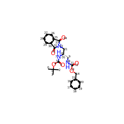 CC(C)(C)OC(=O)N[C@@H](CNC(=O)OCc1ccccc1)CN1C(=O)c2ccccc2C1=O